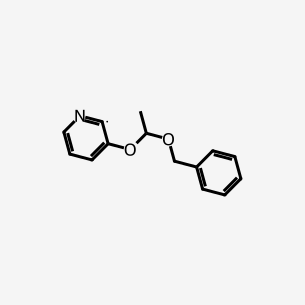 CC(OCc1ccccc1)Oc1[c]nccc1